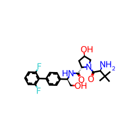 CC(C)(C)[C@H](N)C(=O)N1C[C@H](O)C[C@H]1C(=O)N[C@@H](CO)c1ccc(-c2c(F)cccc2F)cc1